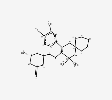 Cc1cc(C2=C(CC[C@@H]3C[C@@H](O)CC(=O)O3)C(C)(C)CC3(C2)SCCCS3)ccc1F